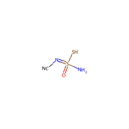 N#CN=S(N)(=O)S